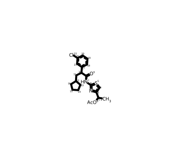 CC(=O)OC(C)c1csc(NC(=O)C(CC2CCCC2)c2cccc(Cl)c2)n1